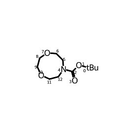 CC(C)(C)OC(=O)N1CCOCCOCC1